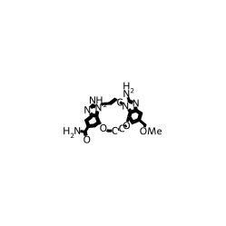 COCc1cc2c3c(c1)nc(N)n3C/C=C/Cn1c(N)nc3cc(C(N)=O)cc(c31)OCCCO2